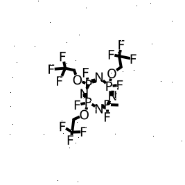 CP1(F)=NP(F)(OCC(F)(F)F)=NP(F)(OCC(F)(F)F)=NP(F)(OCC(F)(F)F)=N1